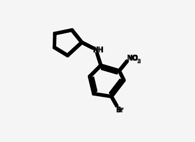 O=[N+]([O-])c1cc(Br)ccc1NC1CCCC1